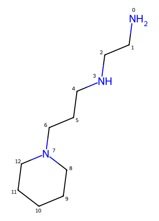 NCCNCCCN1CCCCC1